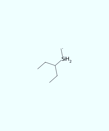 [CH2][SiH2]C(CC)CC